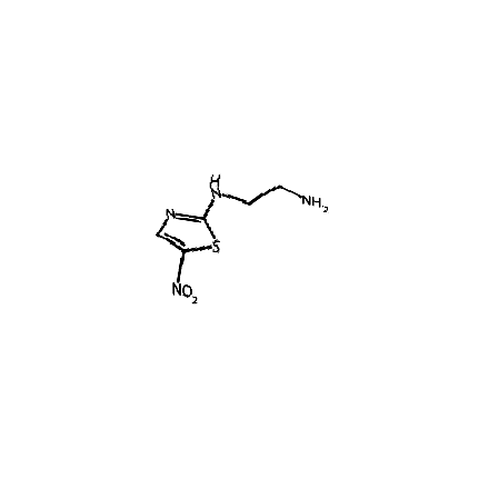 NCCNc1ncc([N+](=O)[O-])s1